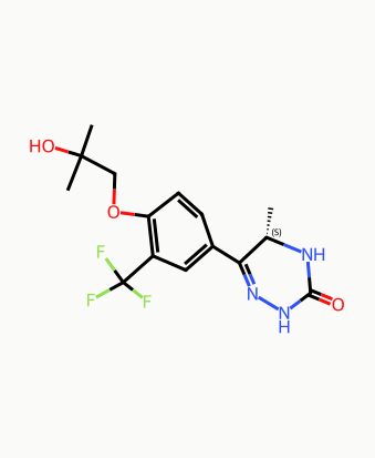 C[C@@H]1NC(=O)NN=C1c1ccc(OCC(C)(C)O)c(C(F)(F)F)c1